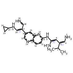 CC(C)C(=C/N)/C=C(\N)Nc1ccc2ncc(/C(C=N)=C/NC3CC3)cc2n1